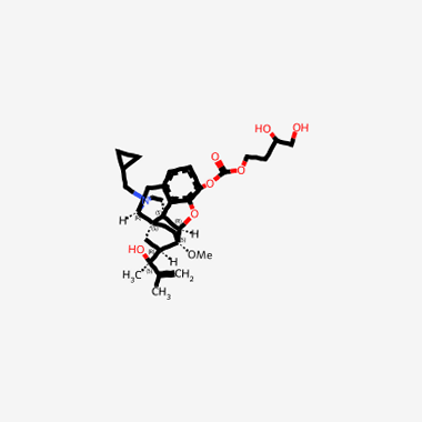 C=C(C)[C@@](C)(O)[C@H]1C[C@@]23CC[C@@]1(OC)[C@@H]1Oc4c(OC(=O)OCCC(O)CO)ccc5c4[C@@]12CCN(CC1CC1)[C@@H]3C5